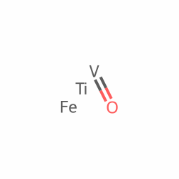 [Fe].[O]=[V].[Ti]